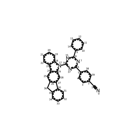 N#Cc1ccc(-c2nc(-c3ccccc3)nc(-n3c4ccccc4c4cc5c(cc43)-c3ccccc3C5)n2)cc1